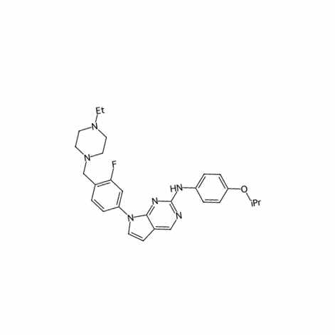 CCN1CCN(Cc2ccc(-n3ccc4cnc(Nc5ccc(OC(C)C)cc5)nc43)cc2F)CC1